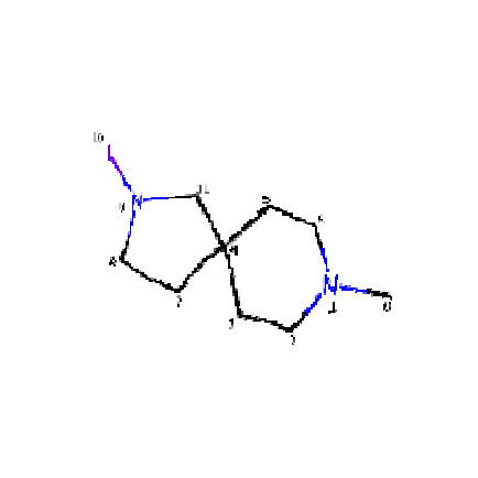 CN1CCC2(CC1)CCN(I)C2